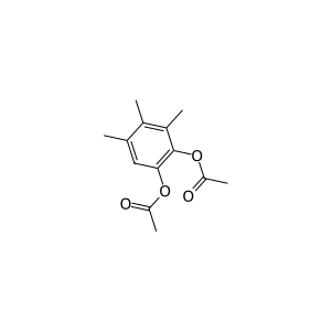 CC(=O)Oc1cc(C)c(C)c(C)c1OC(C)=O